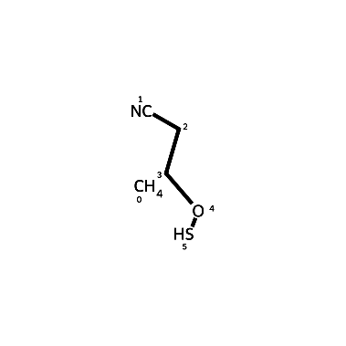 C.N#CCCOS